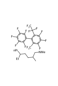 CCCC(CC)CCC(C)CNC.Fc1c(F)c(F)c(-c2c(C(F)(F)F)c(F)c(F)c(F)c2C(F)(F)C(F)(F)F)c(F)c1F